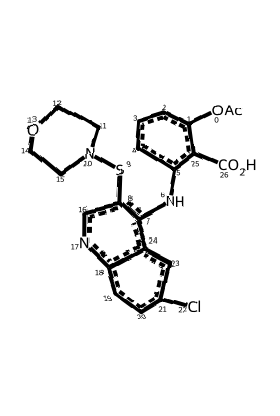 CC(=O)Oc1cccc(Nc2c(SN3CCOCC3)cnc3ccc(Cl)cc23)c1C(=O)O